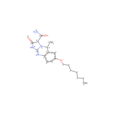 CC(=O)OCCCCCCOc1ccc2c(c1)C(C)N1C(=N2)NC(=O)C1C(N)=O